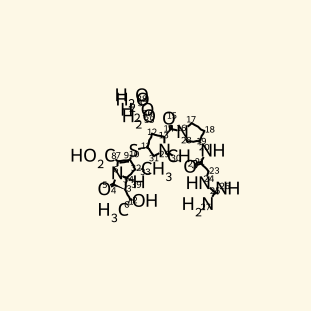 C[C@@H](O)[C@H]1C(=O)N2C(C(=O)O)=C(S[C@H]3C[C@@H](C(=O)N4CC[C@H](NC(=O)CNC(=N)N)C4)N(C)C3)[C@H](C)[C@H]12.O.O.O.O